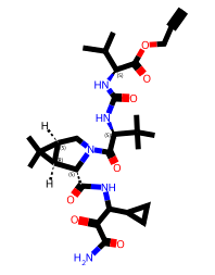 C#CCOC(=O)[C@@H](NC(=O)N[C@H](C(=O)N1C[C@H]2[C@@H]([C@H]1C(=O)NC(C(=O)C(N)=O)C1CC1)C2(C)C)C(C)(C)C)C(C)C